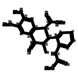 COC(=O)Nc1ccccc1[C@@H]1[C@H](C(=O)OC)c2cc(OC)c(OC)cc2C(=O)N1C